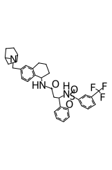 O=C(CC(NS(=O)(=O)c1cccc(C(F)(F)F)c1)c1ccccc1)NC1CCCc2cc(CN3C4CCC3CC4)ccc21